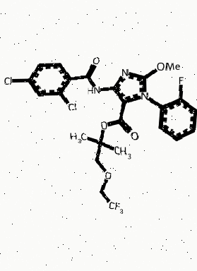 COc1nc(NC(=O)c2ccc(Cl)cc2Cl)c(C(=O)OC(C)(C)COCC(F)(F)F)n1-c1ccccc1F